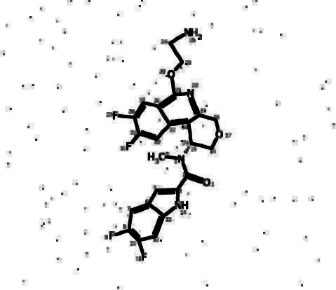 CN(C(=O)c1cc2cc(F)c(F)cc2[nH]1)[C@H]1COCc2nc(OCCN)c3cc(F)c(F)cc3c21